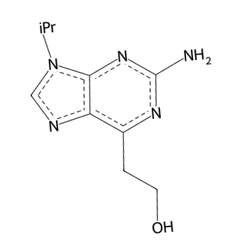 CC(C)n1cnc2c(CCO)nc(N)nc21